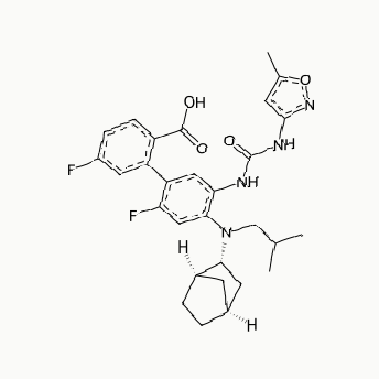 Cc1cc(NC(=O)Nc2cc(-c3cc(F)ccc3C(=O)O)c(F)cc2N(CC(C)C)[C@@H]2C[C@H]3CC[C@@H]2C3)no1